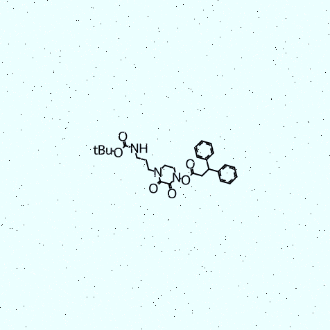 CC(C)(C)OC(=O)NCCCN1CCN(OC(=O)CC(c2ccccc2)c2ccccc2)C(=O)C1=O